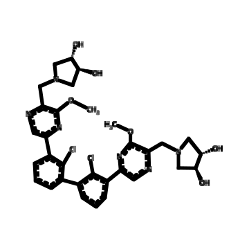 COc1nc(-c2cccc(-c3cccc(-c4cnc(CN5C[C@H](O)[C@@H](O)C5)c(OC)n4)c3Cl)c2Cl)cnc1CN1C[C@H](O)[C@@H](O)C1